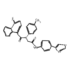 Cc1ccc(N(CC(=O)Nc2ccc(-c3cocn3)cc2)C(=O)c2ccc(F)c3ccccc23)cc1